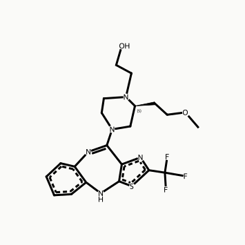 COCC[C@H]1CN(C2=Nc3ccccc3Nc3sc(C(F)(F)F)nc32)CCN1CCO